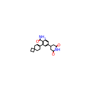 NC(=O)c1ccc(C2CC(=O)NC(=O)C2)cc1C1=CCC2(CCC2)CC1